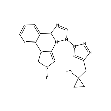 OC1(Cc2cn(N3C=NC4c5ccccc5N5CN(F)C=C5N43)nn2)CC1